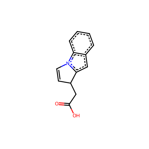 O=C(O)CC1C=Cn2c1cc1ccccc12